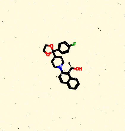 C[C@H](O)c1c(N2CCC(C3(c4ccc(F)cc4)OCCO3)CC2)ccc2ccccc12